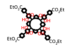 CCOC(=O)c1ccc(-c2ccc(C3c4cc(c(O)cc4O)C(c4ccc(-c5ccc(C(=O)OCC)cc5)cc4)c4cc(c(O)cc4O)C(c4ccc(-c5ccc(C(=O)OCC)cc5)cc4)c4cc(c(O)cc4O)C(c4ccc(-c5ccc(C(=O)OCC)cc5)cc4)c4cc3c(O)cc4O)cc2)cc1